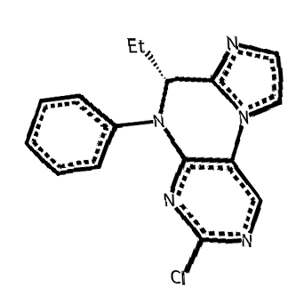 CC[C@@H]1c2nccn2-c2cnc(Cl)nc2N1c1ccccc1